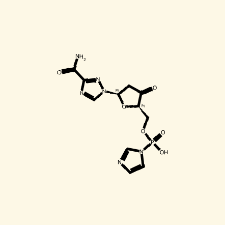 NC(=O)c1ncn([C@H]2CC(=O)[C@@H](COP(=O)(O)n3ccnc3)O2)n1